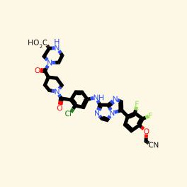 N#CCOc1ccc(-c2cnc3c(Nc4ccc(C(=O)N5CCC(C(=O)N6CCNC(C(=O)O)C6)CC5)c(Cl)c4)nccn23)c(F)c1F